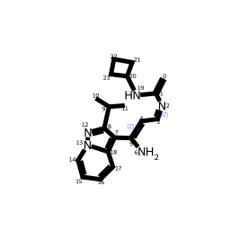 C=C(/N=C\C=C(/N)c1c(C(C)C)nn2ccccc12)NC1CCC1